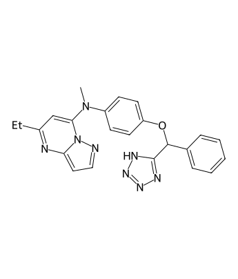 CCc1cc(N(C)c2ccc(OC(c3ccccc3)c3nnn[nH]3)cc2)n2nccc2n1